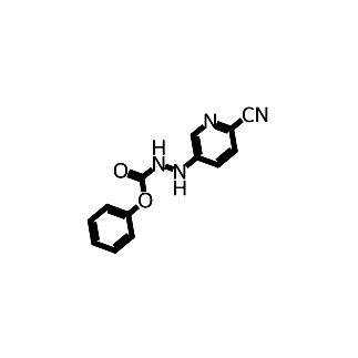 N#Cc1ccc(NNC(=O)Oc2ccccc2)cn1